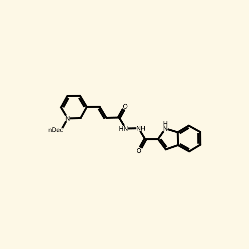 CCCCCCCCCCN1C=CC=C(/C=C/C(=O)NNC(=O)c2cc3ccccc3[nH]2)C1